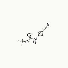 CC(C)(C)OC(=O)NC12CC(C#N)(C1)C2